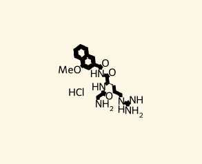 COc1cc(C(=O)NC(=O)[C@H](CCCNC(=N)N)NC(=O)CN)cc2ccccc12.Cl